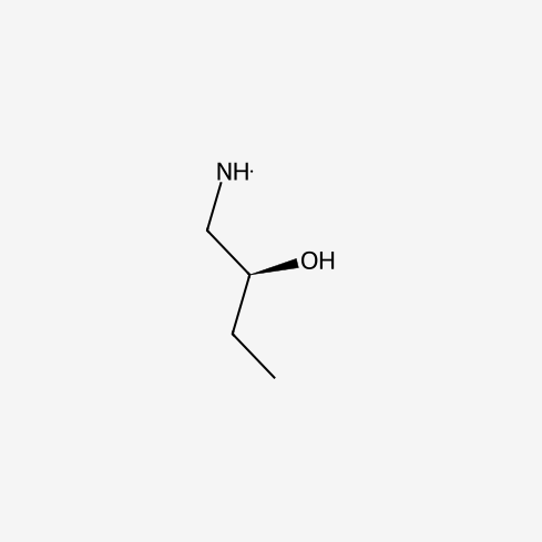 CC[C@H](O)C[NH]